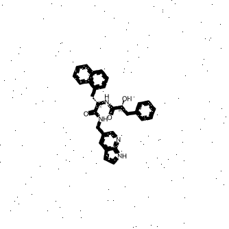 O=C(N[C@@H](Cc1cccc2ccccc12)C(=O)NCc1cnc2[nH]ccc2c1)[C@H](O)Cc1ccccc1